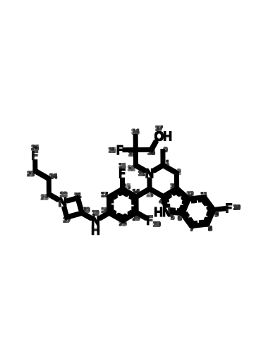 CC1Cc2c([nH]c3ccc(F)cc23)C(c2c(F)cc(NC3CN(CCCF)C3)cc2F)N1CC(C)(F)CO